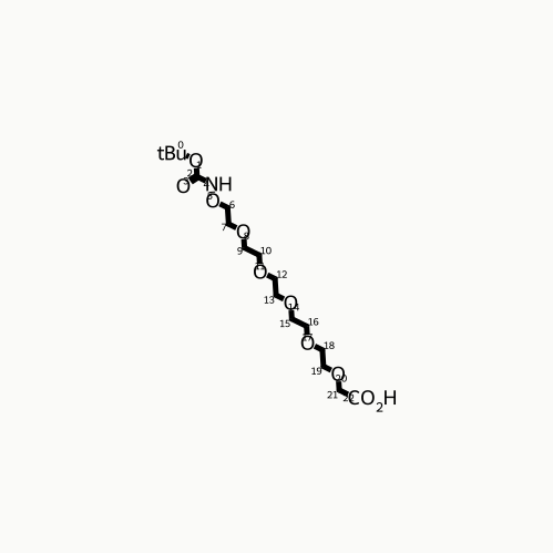 CC(C)(C)OC(=O)NOCCOCCOCCOCCOCCOCC(=O)O